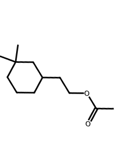 CC(=O)OCCC1CCCC(C)(C)C1